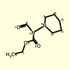 CCOC(=O)N(C=O)N1CCCCC1